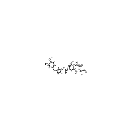 COc1ccc(Cn2cc(CNc3cc4c(c(C)n3)NC(=O)[C@H]([C@@H](C)OC)N4C)cn2)cc1F